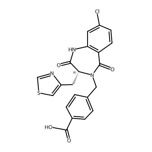 O=C(O)c1ccc(CN2C(=O)c3ccc(Cl)cc3NC(=O)[C@H]2Cc2cscn2)cc1